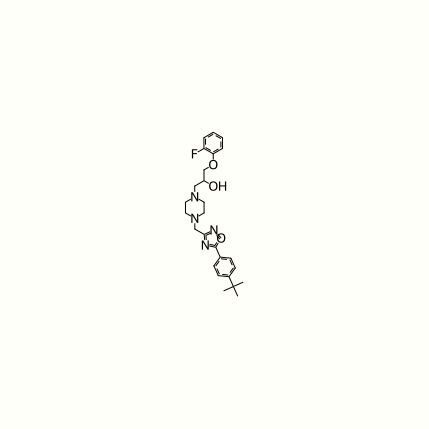 CC(C)(C)c1ccc(-c2nc(CN3CCN(CC(O)COc4ccccc4F)CC3)no2)cc1